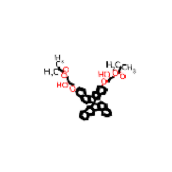 C=C(C)C(=O)OCC(O)COc1ccc2cc(C3(c4ccc5cc(OCC(O)COC(=O)C(=C)C)ccc5c4)c4cc5ccccc5cc4-c4c3ccc3ccccc43)ccc2c1